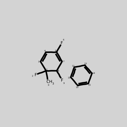 CC1(F)C=CC(F)=CC1F.c1ccccc1